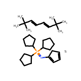 C1=CCC(N=P(C2CCCC2)(C2CCCC2)C2CCCC2)=C1.CC(C)(C)C=CC=CC(C)(C)C.[Ti]